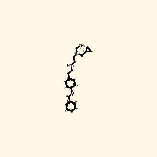 CCN(CCNCCc1ccc(OCc2ccccc2)cc1)CC1CC1